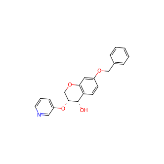 O[C@H]1c2ccc(OCc3ccccc3)cc2OC[C@H]1Oc1cccnc1